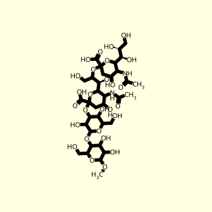 COC1OC(CO)C(OC2OC(CO)C(O)C(OC3(C(=O)O)CC(O)C(NC(C)=O)C([C@H](O)C(CO)OC4(C(=O)O)CC(O)C(NC(C)=O)C([C@H](O)[C@H](O)CO)O4)O3)C2O)C(O)C1O